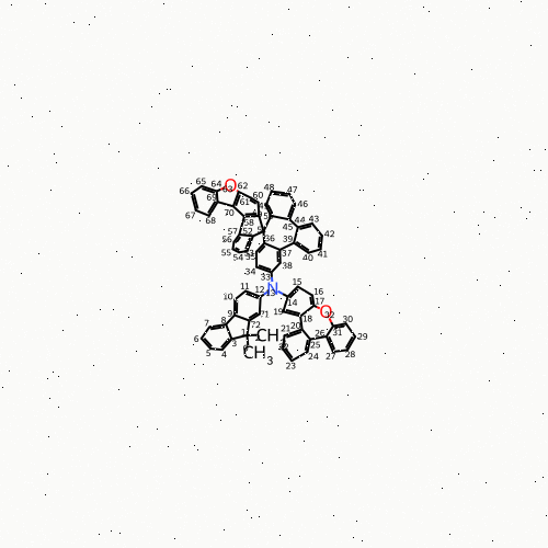 CC1(C)c2ccccc2-c2ccc(N(c3ccc4c(c3)-c3ccccc3-c3ccccc3O4)c3ccc4c(c3)-c3ccccc3-c3ccccc3C43c4ccccc4-c4c3ccc3oc5ccccc5c43)cc21